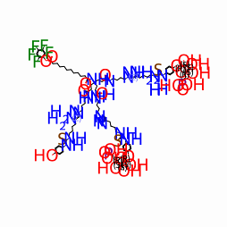 N/C(=C\N(N)CCCCNC(=O)CCC(CCC(=O)NCCCCN(N)/C=C(\N)CCCCNC(=S)Nc1ccc(O[C@H]2O[C@H](CCP(=O)(O)O)[C@@H](O)[C@H](O)[C@@H]2O)cc1)(CCC(=O)NCCCCn1cc(CCCCNC(=S)Nc2ccc(O[C@H]3O[C@H](CCP(=O)(O)O)[C@@H](O)[C@H](O)[C@@H]3O)cc2)nn1)NC(=O)CCCCCCCCCCC(=O)Oc1c(F)c(F)c(F)c(F)c1F)CCCCNC(=S)Nc1ccc(O)cc1